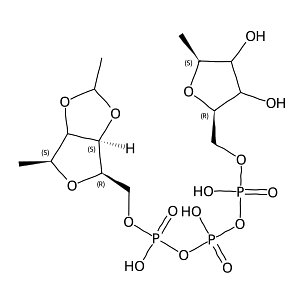 CC1OC2[C@H](C)O[C@H](COP(=O)(O)OP(=O)(O)OP(=O)(O)OC[C@H]3O[C@@H](C)C(O)C3O)[C@@H]2O1